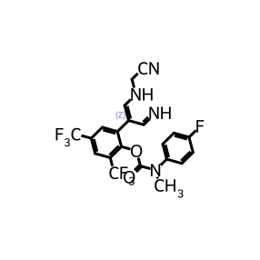 CN(C(=O)Oc1c(/C(C=N)=C/NCC#N)cc(C(F)(F)F)cc1C(F)(F)F)c1ccc(F)cc1